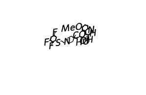 COc1ccc2ncc(CO)c(C(O)CCC3(C(=O)O)CCN(CCSc4cc(F)cc(F)c4F)CC3)c2c1